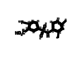 Cc1cc(C)c(NS(=O)(=O)c2ccc(F)c(C(=O)O)c2)cn1